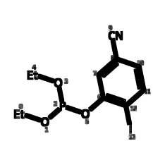 CCOP(OCC)Oc1cc(C#N)ccc1I